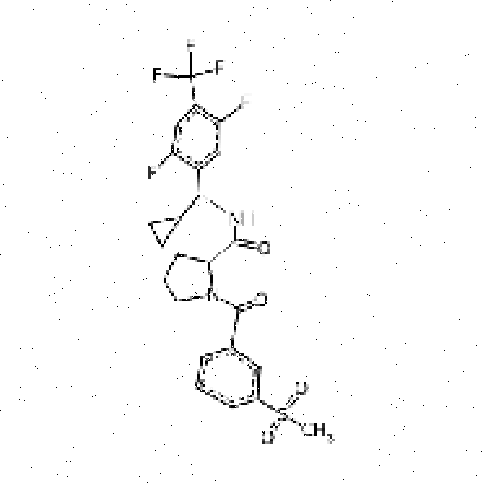 CS(=O)(=O)c1cccc(C(=O)N2CCC[C@@H]2C(=O)N[C@@H](c2cc(F)c(C(F)(F)F)cc2F)C2CC2)c1